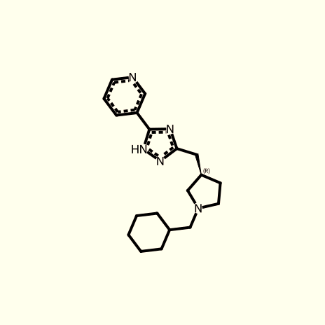 c1cncc(-c2nc(C[C@H]3CCN(CC4CCCCC4)C3)n[nH]2)c1